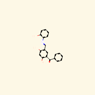 O=C(c1ccccc1)c1cc(/C=N/c2ccccc2O)c(O)cc1O